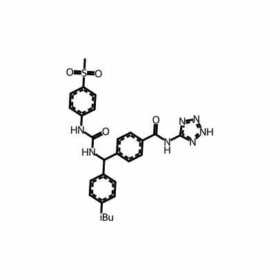 CCC(C)c1ccc(C(NC(=O)Nc2ccc(S(C)(=O)=O)cc2)c2ccc(C(=O)Nc3nn[nH]n3)cc2)cc1